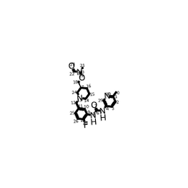 Cc1ccc(NC(=O)Nc2cc(CN3CCC[C@H](CON(C)C=O)C3)ccc2F)cn1